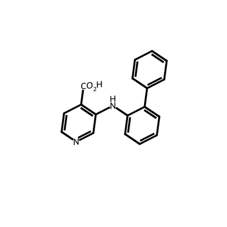 O=C(O)c1ccncc1Nc1ccccc1-c1ccccc1